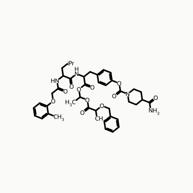 Cc1ccccc1OCC(=O)NC(CC(C)C)C(=O)NC(Cc1ccc(OC(=O)N2CCC(C(N)=O)CC2)cc1)C(=O)OC(C)OC(=O)C(C)OCc1ccccc1